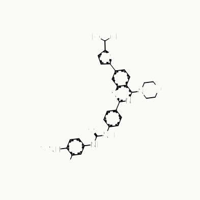 CC(=O)Nc1ccc(NC(=O)Nc2ccc(-c3nc(N4CCOCC4)c4ccc(-c5ccc(C(C)O)o5)cc4n3)cc2)cc1F